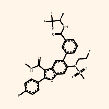 CNC(=O)c1c(-c2ccc(F)cc2)oc2cc(N(CCF)S(C)(=O)=O)c(-c3cccc(C(=O)N[C@H](C)C(F)(F)F)c3)cc12